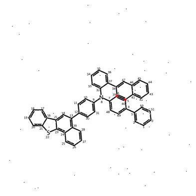 c1ccc(-c2ccc(N(c3ccc(-c4cc5c6ccccc6sc5c5ccccc45)cc3)c3ccccc3-c3ccc4ccccc4c3)cc2)cc1